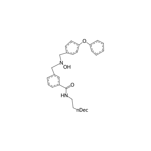 CCCCCCCCCCCCNC(=O)c1cccc(CN(O)Cc2ccc(Oc3ccccc3)cc2)c1